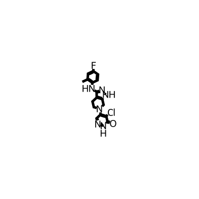 Cc1cc(F)ccc1Nc1n[nH]c2c1CCN(c1cn[nH]c(=O)c1Cl)C2